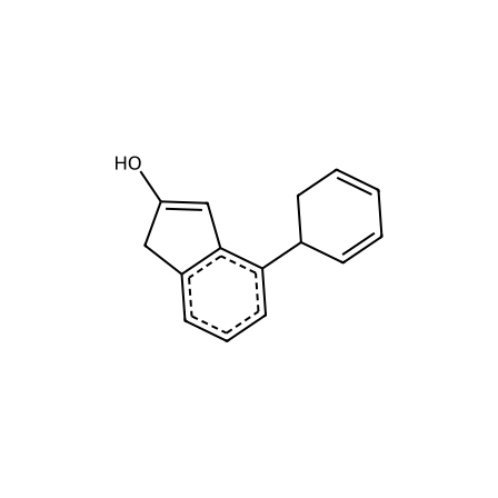 OC1=Cc2c(cccc2C2C=CC=CC2)C1